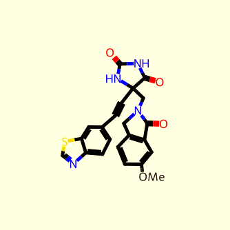 COc1ccc2c(c1)C(=O)N(CC1(C#Cc3ccc4ncsc4c3)NC(=O)NC1=O)C2